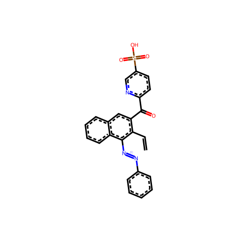 C=Cc1c(C(=O)c2ccc(S(=O)(=O)O)cn2)cc2ccccc2c1/N=N/c1ccccc1